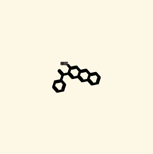 C=C(c1ccccc1)c1cc2cc3ccccc3cc2cc1C=O